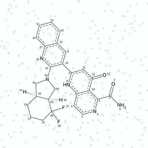 NC(=O)c1nccc2[nH]c(-c3cc4ccccc4nc3N3C[C@@H]4CCCC(F)(F)[C@@H]4C3)cc(=O)c12